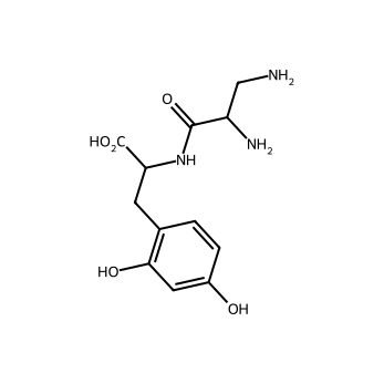 NCC(N)C(=O)NC(Cc1ccc(O)cc1O)C(=O)O